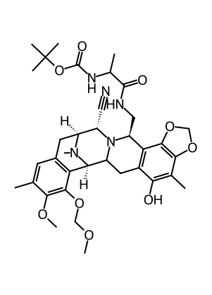 COCOc1c(OC)c(C)cc2c1[C@@H]1C3Cc4c(O)c(C)c5c(c4[C@H](CNC(=O)C(C)NC(=O)OC(C)(C)C)N3[C@@H](C#N)[C@H](C2)N1C)OCO5